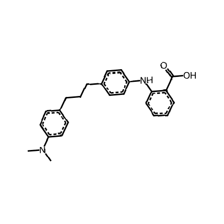 CN(C)c1ccc(CCCc2ccc(Nc3ccccc3C(=O)O)cc2)cc1